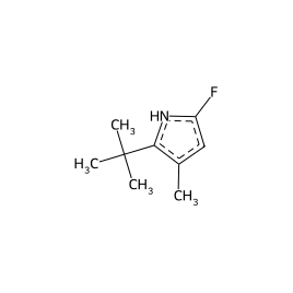 Cc1cc(F)[nH]c1C(C)(C)C